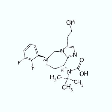 CC(C)(C)N(C(=O)O)[C@@H]1CC[C@@H](c2cccc(F)c2F)Cn2c(CCO)cnc21